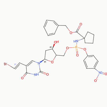 O=C(OCc1ccccc1)C1(NP(=O)(OCC2O[C@@H](n3cc(/C=C/Br)c(=O)[nH]c3=O)C[C@H]2O)Oc2ccc([N+](=O)[O-])cc2)CCCC1